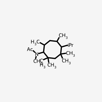 CC(=O)N(C)C1C(C)CC(C)C(C(C)C)C(C)(C)CC1(C)C